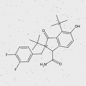 CC(C)(C)[N+]1(Cc2ccc(F)c(F)c2)C(=O)c2c(ccc(O)c2[Si](C)(C)C)C1C(N)=O